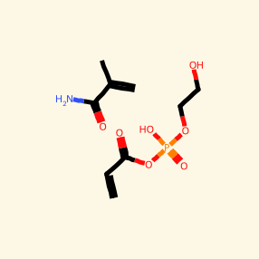 C=C(C)C(N)=O.C=CC(=O)OP(=O)(O)OCCO